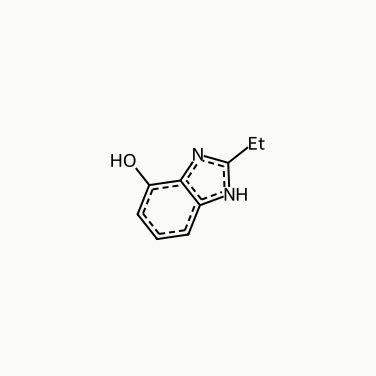 CCc1nc2c(O)cccc2[nH]1